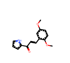 COc1ccc(OC)c(C=CC(=O)c2ccc[nH]2)c1